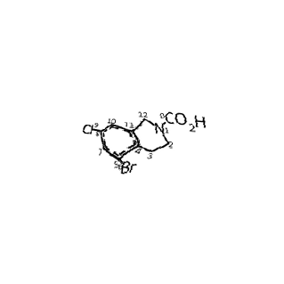 O=C(O)N1CCc2c(Br)cc(Cl)cc2C1